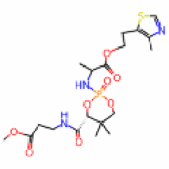 COC(=O)CCNC(=O)[C@@H]1OP(=O)(NC(C)C(=O)OCCc2scnc2C)OCC1(C)C